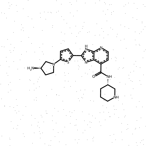 N[C@@H]1CCN(c2ccc(-c3nc4c(C(=O)N[C@H]5CCCNC5)ccnc4[nH]3)s2)C1